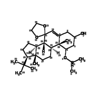 C[SiH](C)OC1CC(O)CC2=CC3(OCCO3)[C@H]3[C@@H]4CC[C@H](C(C)(C)C)[C@@]4(C)CC[C@@H]3[C@]21C